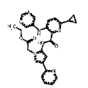 CCOC(=O)Cn1nc(-c2ccccn2)cc1NC(=O)c1nc(C2CC2)ccc1Nc1cncnc1